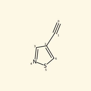 C#Cc1cnsc1